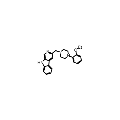 CCOc1ccccc1N1CCN(Cc2cc3c(cn2)[nH]c2ccccc23)CC1